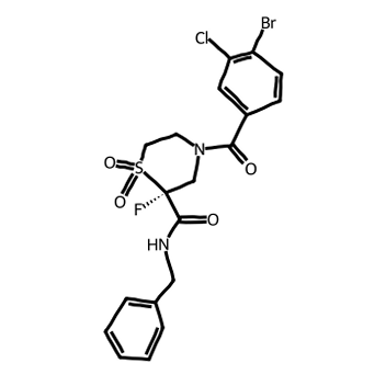 O=C(c1ccc(Br)c(Cl)c1)N1CCS(=O)(=O)[C@](F)(C(=O)NCc2ccccc2)C1